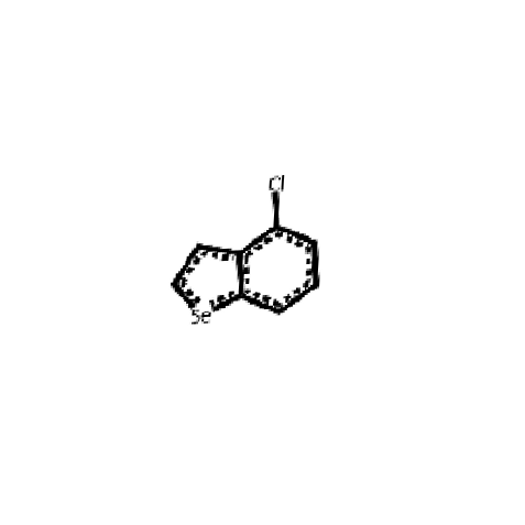 Clc1cccc2[se]ccc12